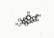 Cc1nn(-c2c(Cl)ccc3c2CCNCC3C(CC(=O)O)C(=O)O)c(C)c1Cl